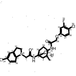 C[C@H]1CC2(NC(=O)CN3CCc4cc(Cl)ccc43)CCC1(NC(=O)COc1ccc(Cl)c(F)c1)CC2